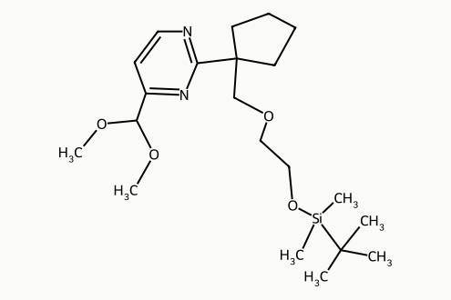 COC(OC)c1ccnc(C2(COCCO[Si](C)(C)C(C)(C)C)CCCC2)n1